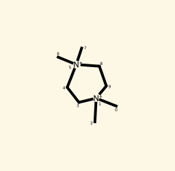 C[N+]1(C)CC[N+](C)(C)CC1